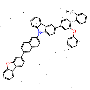 Cc1ccccc1-c1ccc(-c2ccc3c(c2)c2ccccc2n3-c2ccc3cc(-c4ccc5c(c4)oc4ccccc45)ccc3c2)cc1Oc1ccccc1